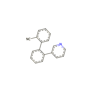 N#Cc1ccccc1-c1ccccc1-c1cccnc1